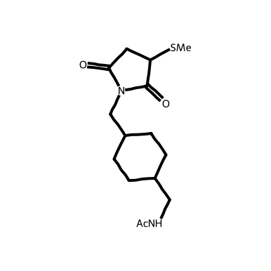 CSC1CC(=O)N(CC2CCC(CNC(C)=O)CC2)C1=O